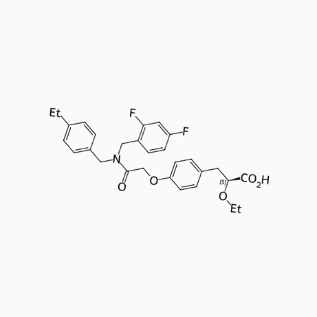 CCO[C@@H](Cc1ccc(OCC(=O)N(Cc2ccc(CC)cc2)Cc2ccc(F)cc2F)cc1)C(=O)O